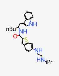 CCCCC(Cc1c[nH]c2ccccc12)NC(=O)c1cc2ccc(NCCNC(C)C)cc2s1